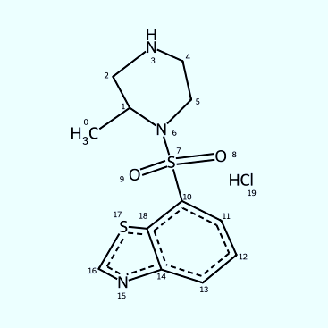 CC1CNCCN1S(=O)(=O)c1cccc2ncsc12.Cl